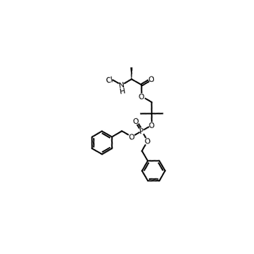 C[C@H](NCl)C(=O)OCC(C)(C)OP(=O)(OCc1ccccc1)OCc1ccccc1